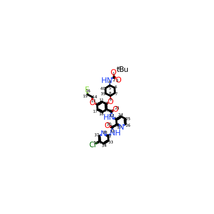 CC(C)(C)OC(=O)N[C@H]1CC[C@@H](Oc2cc(OCCF)ccc2C(=O)Nc2cccnc2C(=O)Nc2ccc(Cl)cn2)CC1